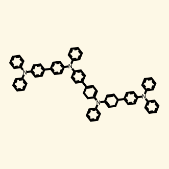 C1=CC(c2ccc(N(c3ccccc3)c3ccccc3)cc2)CC=C1N(C1=CC=C(c2ccc(N(c3ccccc3)c3ccc(-c4ccc(N(c5ccccc5)c5ccccc5)cc4)cc3)cc2)CC1)c1ccccc1